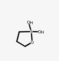 OS1(O)CCCO1